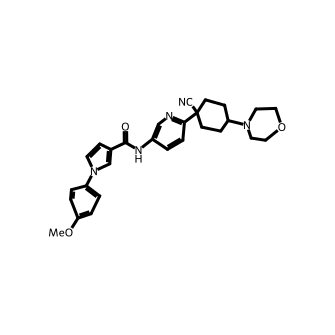 COc1ccc(-n2ccc(C(=O)Nc3ccc(C4(C#N)CCC(N5CCOCC5)CC4)nc3)c2)cc1